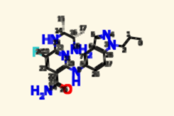 CCCn1ncc2cc(Nc3nc(N[C@H](C)[C@H](C)N)c(F)cc3C(N)=O)ccc21